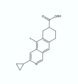 COC(=O)C1CCc2cc3cnc(C4CC4)cc3c(I)c2C1